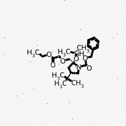 CCOC(=O)COC[C@@]1(O[SiH](C)C)C[C@H](C(C)(C)C)CN1C(=O)OCc1ccccc1